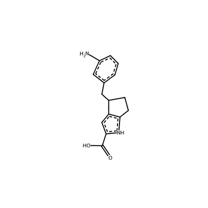 Nc1cccc(CC2CCc3[nH]c(C(=O)O)cc32)c1